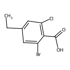 CCc1cc(Cl)c(C(=O)O)c(Br)c1